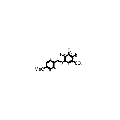 COc1ccc(COc2cc(C(=O)O)c(F)c(F)c2F)cc1